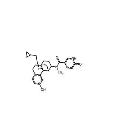 CN(C(=O)c1ccc(=O)[nH]c1)C1CCC23CCC1C21CCN(CC2CC2)C3Cc2ccc(O)cc21